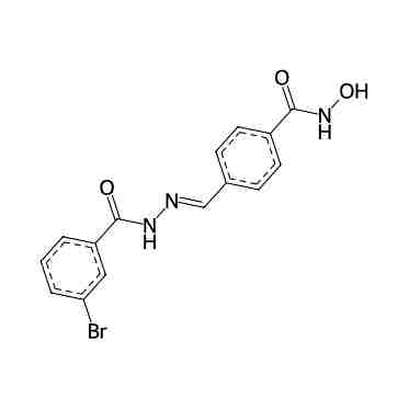 O=C(NO)c1ccc(C=NNC(=O)c2cccc(Br)c2)cc1